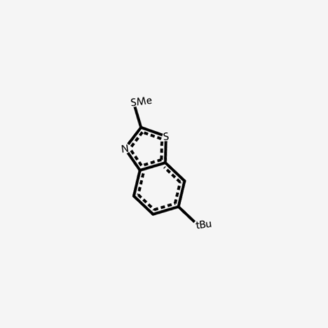 CSc1nc2ccc(C(C)(C)C)cc2s1